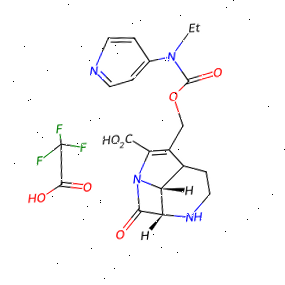 CCN(C(=O)OCC1=C(C(=O)O)N2C(=O)[C@H]3NCCC1[C@H]32)c1ccncc1.O=C(O)C(F)(F)F